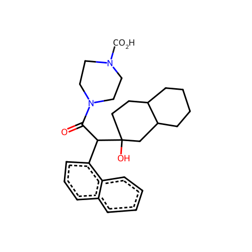 O=C(O)N1CCN(C(=O)C(c2cccc3ccccc23)C2(O)CCC3CCCCC3C2)CC1